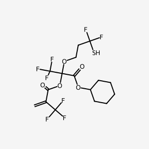 C=C(C(=O)OC(OCCC(F)(F)S)(C(=O)OC1CCCCC1)C(F)(F)F)C(F)(F)F